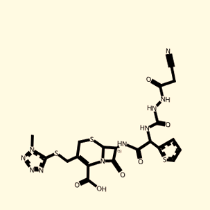 Cn1nnnc1SCC1=C(C(=O)O)N2C(=O)[C@H](NC(=O)C(NC(=O)NNC(=O)CC#N)c3cccs3)C2SC1